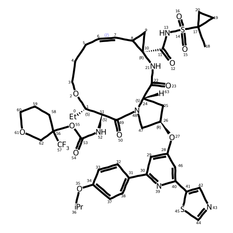 CC[C@@H]1OCCC/C=C\C2C[C@@]2(C(=O)NS(=O)(=O)C2(C)CC2)NC(=O)[C@@H]2C[C@@H](Oc3cc(-c4ccc(OC(C)C)cc4)nc(-c4cncs4)c3)CN2C(=O)[C@H]1NC(=O)OC1(C(F)(F)F)CCCOC1